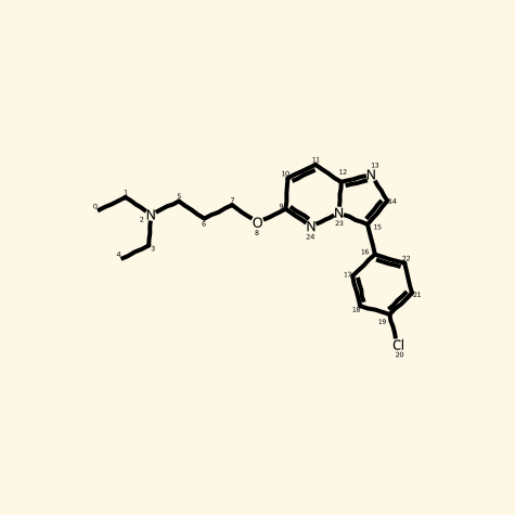 CCN(CC)CCCOc1ccc2ncc(-c3ccc(Cl)cc3)n2n1